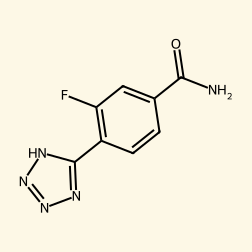 NC(=O)c1ccc(-c2nnn[nH]2)c(F)c1